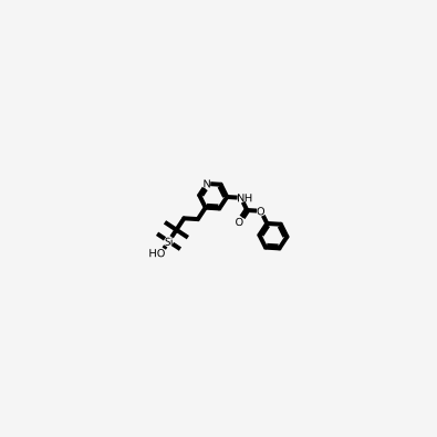 CC(C)(CCc1cncc(NC(=O)Oc2ccccc2)c1)[Si](C)(C)O